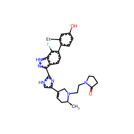 CCc1cc(O)ccc1-c1ccc2c(-c3nc(C4=CC[C@H](C)N(CCN5CCCC5=O)C4)c[nH]3)n[nH]c2c1F